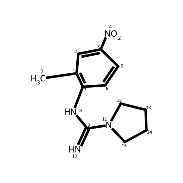 Cc1cc([N+](=O)[O-])ccc1NC(=N)N1CCCC1